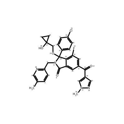 Cc1ccc(CN2C(=O)c3cc(C(=O)c4cnn(C)c4)cc(F)c3C2(OCC2(O)CC2)c2ccc(Cl)cc2)nc1